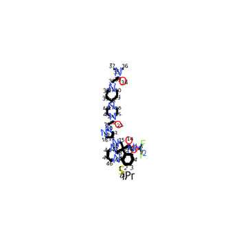 CC(C)Sc1ccc(OC(F)F)c(C2(C(N)=O)CN(c3cnn(CC(=O)N4CCN(C5CCN(CC(=O)N(C)C)CC5)CC4)c3)N3C=CC=NC32)c1